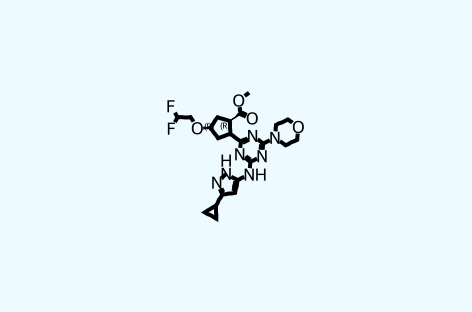 COC(=O)[C@@H]1C[C@H](OCC(F)F)CC1c1nc(Nc2cc(C3CC3)n[nH]2)nc(N2CCOCC2)n1